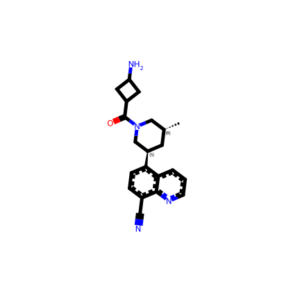 C[C@@H]1C[C@@H](c2ccc(C#N)c3ncccc23)CN(C(=O)C2CC(N)C2)C1